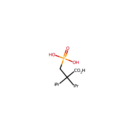 CC(C)C(CP(=O)(O)O)(C(=O)O)C(C)C